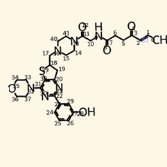 C/C=C/C(=O)CCC(=O)NCC(=O)N1CCN(CC2Cc3nc(-c4cccc(O)c4)nc(N4CCOCC4)c3S2)CC1